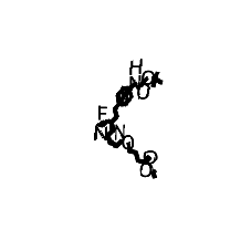 CCOC(=O)CCCOc1ccc2ncc(F)c(CCC34CCC(NC(=O)OC(C)(C)C)(CC3)CO4)c2n1